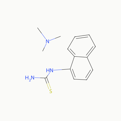 CN(C)C.NC(=S)Nc1cccc2ccccc12